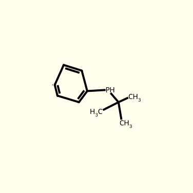 CC(C)(C)Pc1cc[c]cc1